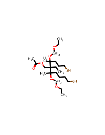 CCO[SiH2]OC(C)(CCCS)C(CC)(COC(C)=O)C(C)(CCCCS)O[SiH2]OCC